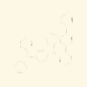 c1ccc(-c2ccc(-c3ccccc3-n3c4ccccc4c4c5c6ccccc6n(-c6ccccc6)c5ccc43)cc2)cc1